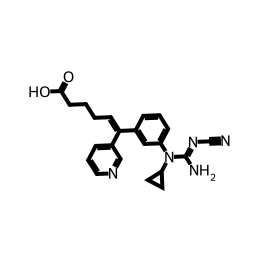 N#CN=C(N)N(c1cccc(C(=CCCCC(=O)O)c2cccnc2)c1)C1CC1